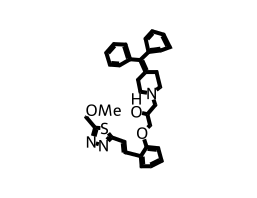 COCc1nnc(/C=C/c2ccccc2OCC(O)CN2CCC(=C(c3ccccc3)c3ccccc3)CC2)s1